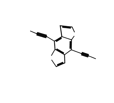 CC#Cc1c2ccsc2c(C#CC)c2ccsc12